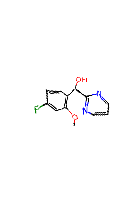 COc1cc(F)ccc1C(O)c1ncccn1